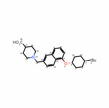 CC(C)(C)[C@H]1CC[C@H](Oc2cccc3cc(CN4CCC(C(=O)O)CC4)ccc23)CC1